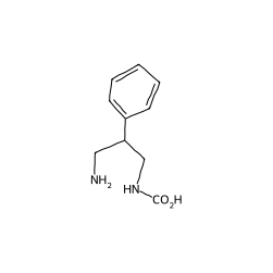 NCC(CNC(=O)O)c1ccccc1